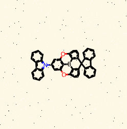 c1ccc2c(c1)-c1ccccc1C21c2cccc3c2B2c4c(cc(-n5c6ccccc6c6ccccc65)cc4Oc4cccc1c42)O3